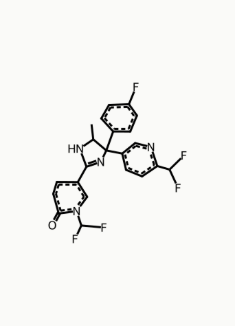 CC1NC(c2ccc(=O)n(C(F)F)c2)=NC1(c1ccc(F)cc1)c1ccc(C(F)F)nc1